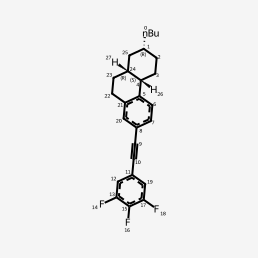 CCCC[C@@H]1CC[C@@H]2c3ccc(C#Cc4cc(F)c(F)c(F)c4)cc3CC[C@@H]2C1